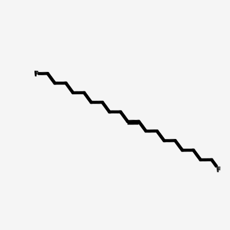 FCCCCCCCCC=CCCCCCCCCCF